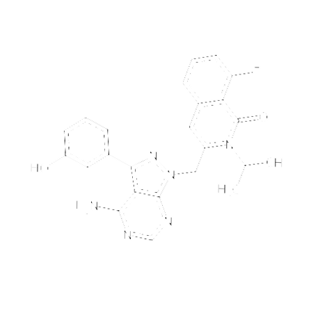 CC(C)n1c(Cn2nc(-c3cccc(O)c3)c3c(N)ncnc32)cc2cccc(F)c2c1=O